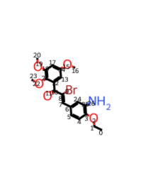 CCOc1ccc(C=C(Br)C(=O)c2cc(OC)cc(OC)c2OC)cc1N